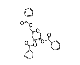 O=C(OCC1=C[C@H](OC(=O)c2ccccc2)[C@H](OC(=O)c2ccccc2)CO1)c1ccccc1